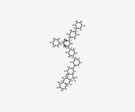 CC1(C)c2cc(-c3cccc(-c4ccc(-c5cc(-c6ccc(-c7ccccc7)cc6)nc(-c6ccccc6)n5)cc4)c3)ccc2-c2cc3ccccc3cc21